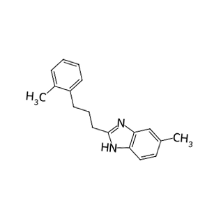 Cc1ccc2[nH]c(CCCc3ccccc3C)nc2c1